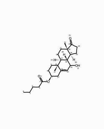 CCCCC(=O)O[C@H]1CC[C@@]2(C)C(=CC(O)[C@@H]3[C@@H]2CC[C@]2(C)C(=O)CC[C@@H]32)C1